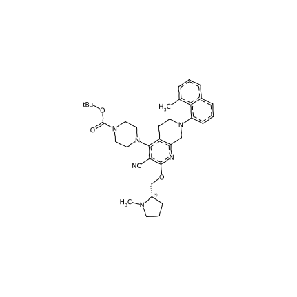 Cc1cccc2cccc(N3CCc4c(nc(OC[C@@H]5CCCN5C)c(C#N)c4N4CCN(C(=O)OC(C)(C)C)CC4)C3)c12